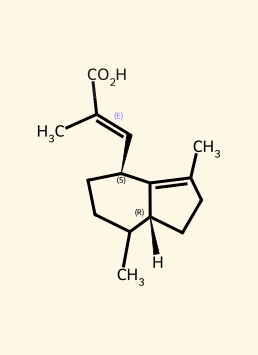 CC1=C2[C@H](/C=C(\C)C(=O)O)CCC(C)[C@H]2CC1